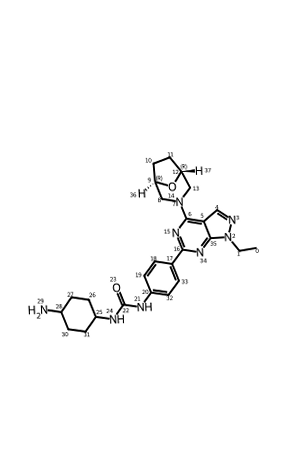 CCn1ncc2c(N3C[C@H]4CC[C@H](C3)O4)nc(-c3ccc(NC(=O)NC4CCC(N)CC4)cc3)nc21